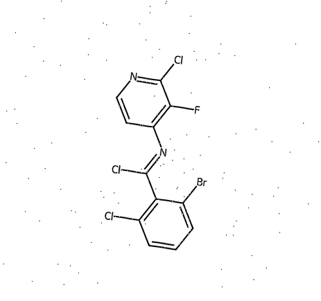 Fc1c(N=C(Cl)c2c(Cl)cccc2Br)ccnc1Cl